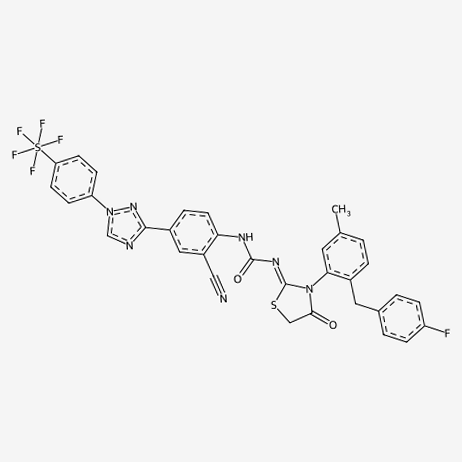 Cc1ccc(Cc2ccc(F)cc2)c(N2C(=O)CSC2=NC(=O)Nc2ccc(-c3ncn(-c4ccc(S(F)(F)(F)(F)F)cc4)n3)cc2C#N)c1